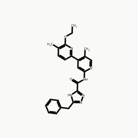 CCOc1nc(-c2cc(NC(=O)c3nnc(Cc4ccccc4)[nH]3)ncc2C)ccc1C